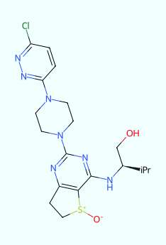 CC(C)[C@H](CO)Nc1nc(N2CCN(c3ccc(Cl)nn3)CC2)nc2c1[S+]([O-])CC2